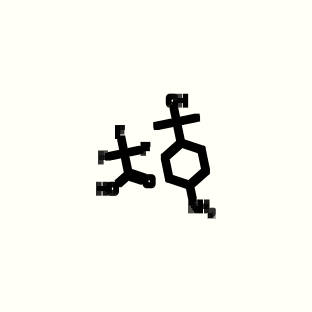 CC(C)(O)C1CCC(N)CC1.O=C(O)C(F)(F)F